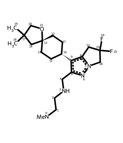 CNCCNCc1nn2c(c1[C@H]1CC[C@@]3(CC1)CC(C)(C)CO3)CC(F)(F)C2